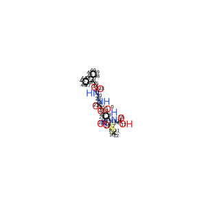 COc1cc(C(CSSC(C)(C)C)NCC(=O)O)c([N+](=O)[O-])cc1OCC(=O)NCCNC(=O)OCC1c2ccccc2-c2ccccc21